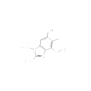 COc1c(I)c(C)cc2c1nc(C)n2C